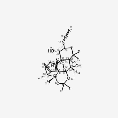 C=C1C(=O)[C@@]23[C@@H]4OC(C)(C)OC25OC[C@]2([C@H](O)[C@@H](N=[N+]=[N-])CC(C)(C)[C@H]2[C@@H]5O)[C@@H]3CC[C@@H]14